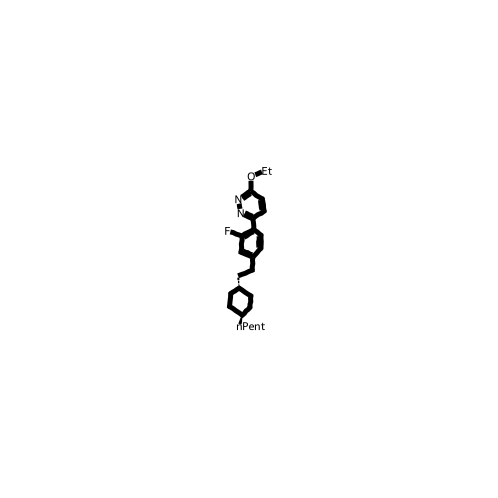 CCCCC[C@H]1CC[C@H](CCc2ccc(-c3ccc(OCC)nn3)c(F)c2)CC1